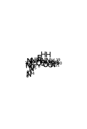 CN1CC(n2cc(-c3ccc(NC(=O)Nc4cc(C5(C)CC5)no4)c(F)c3)c3c(N)ncnc32)C1